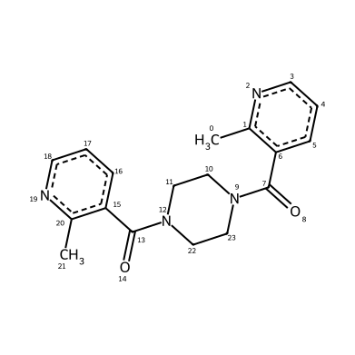 Cc1ncccc1C(=O)N1CCN(C(=O)c2cccnc2C)CC1